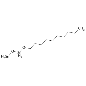 CCCCCCCCCC[O][SnH2][O][SnH3]